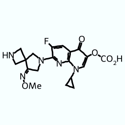 CON=C1CN(c2nc3c(cc2F)c(=O)c(OC(=O)O)cn3C2CC2)CC12CNC2